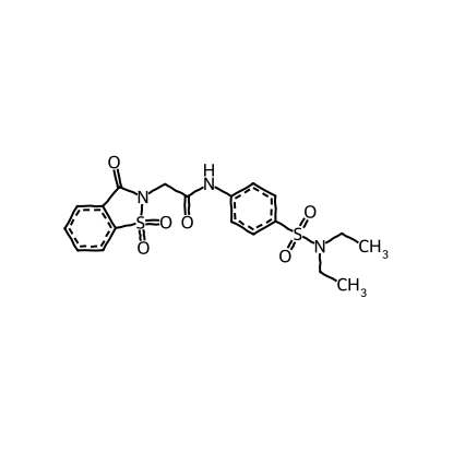 CCN(CC)S(=O)(=O)c1ccc(NC(=O)CN2C(=O)c3ccccc3S2(=O)=O)cc1